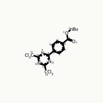 CCCCOC(=O)c1ccc(-c2nc(C(Cl)(Cl)Cl)nc(C(Cl)(Cl)Cl)n2)cc1